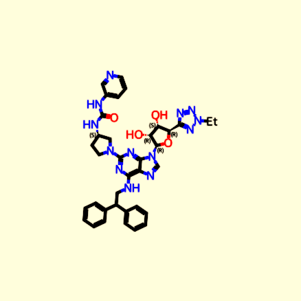 CCn1nnc([C@H]2O[C@@H](n3cnc4c(NCC(c5ccccc5)c5ccccc5)nc(N5CC[C@H](NC(=O)Nc6cccnc6)C5)nc43)[C@H](O)[C@@H]2O)n1